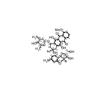 COc1cccc2c1C(=O)c1c(O)c3c(c(O)c1C2=O)C[C@@](O)(C(C)=O)C[C@@H]3O[C@H]1C[C@H](N)[C@H](O)[C@H](C)O1.Nc1ccn([C@@H]2O[C@H](CO)[C@@H](O)C2(F)F)c(=O)n1